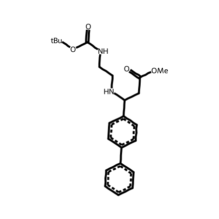 COC(=O)CC(NCCNC(=O)OC(C)(C)C)c1ccc(-c2ccccc2)cc1